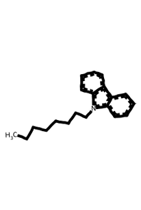 CCCCCCCCn1c2cc[c]cc2c2ccccc21